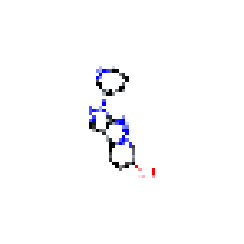 Oc1ccc2c3cnn(-c4cccnc4)c3nn2c1